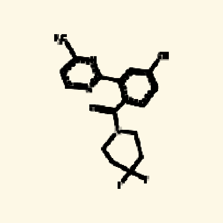 N#Cc1ccc(C(=O)N2CCC(F)(F)CC2)c(-c2nccc(C(F)(F)F)n2)c1